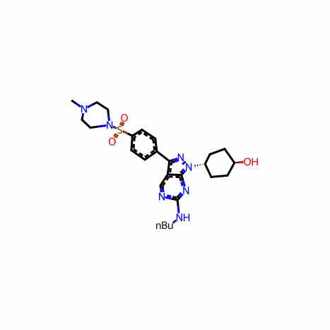 CCCCNc1ncc2c(-c3ccc(S(=O)(=O)N4CCN(C)CC4)cc3)nn([C@H]3CC[C@H](O)CC3)c2n1